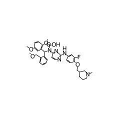 COCc1ccccc1C(c1cc(OC)ccc1OC)N(C(=O)O)c1ccnc(Nc2ccc(OCC3CCCN(C)C3)c(F)c2)n1